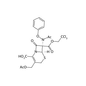 CC(=O)OCC1=C(C(=O)O)N2C(=O)[C@](C(=O)OCC(Cl)(Cl)Cl)(N(Oc3ccccc3)C(C)=O)[C@H]2SC1